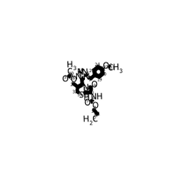 C=CCOC(=O)N[C@@H]1C(=O)N2C(c3nnnn3Cc3ccc(OC)cc3)=C(COC(C)=O)CS[C@H]12